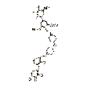 CCCn1cc(-c2cc(OC)c(CCN3CCC(OC4CCN(CCn5cccc(Cn6ccc(=O)[nH]c6=O)c5=O)CC4)CC3)c(OC)c2)c(C)c(C)c1=O